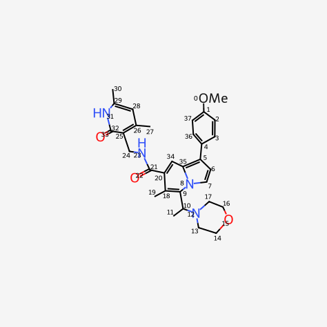 COc1ccc(-c2ccn3c(C(C)N4CCOCC4)c(C)c(C(=O)NCc4c(C)cc(C)[nH]c4=O)cc23)cc1